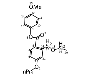 CCCOc1ccc(C(=O)Oc2ccc(OC)cc2)c([SiH2]O[SiH2]C)c1